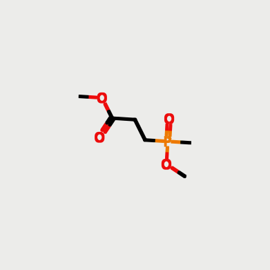 COC(=O)CCP(C)(=O)OC